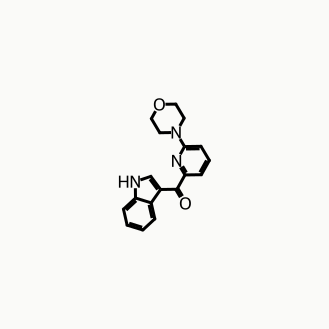 O=C(c1cccc(N2CCOCC2)n1)c1c[nH]c2ccccc12